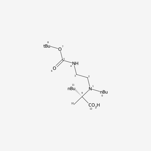 CCCCN(CCNC(=O)OC(C)(C)C)[C@@](C)(CCCC)C(=O)O